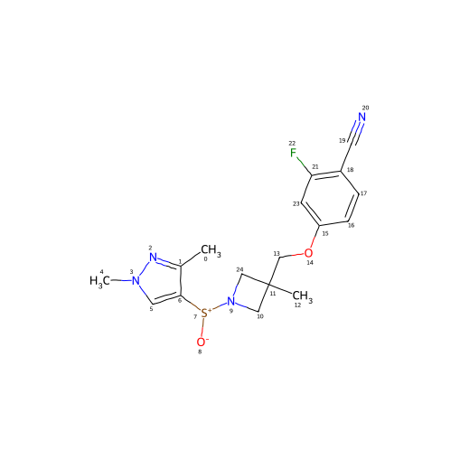 Cc1nn(C)cc1[S+]([O-])N1CC(C)(COc2ccc(C#N)c(F)c2)C1